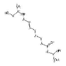 CCCCCCCCC(CCC)OC(=O)CCCCCCCNC(C)CO